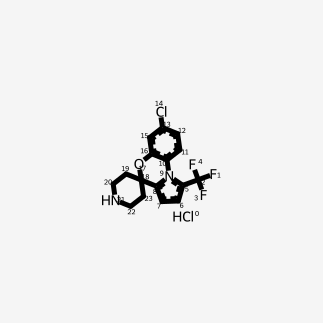 Cl.FC(F)(F)c1ccc2n1-c1ccc(Cl)cc1OC21CCNCC1